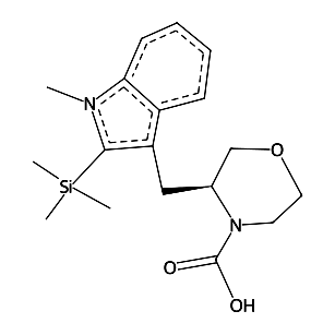 Cn1c([Si](C)(C)C)c(C[C@H]2COCCN2C(=O)O)c2ccccc21